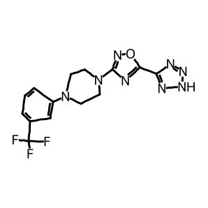 FC(F)(F)c1cccc(N2CCN(c3noc(-c4nn[nH]n4)n3)CC2)c1